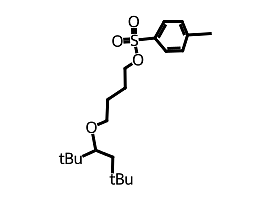 Cc1ccc(S(=O)(=O)OCCCCOC(CC(C)(C)C)C(C)(C)C)cc1